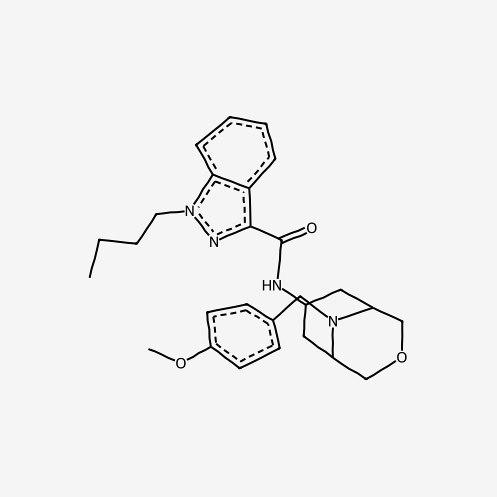 CCCCn1nc(C(=O)NC2CC3COCC(C2)N3Cc2ccc(OC)cc2)c2ccccc21